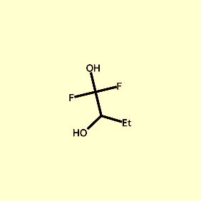 CCC(O)C(O)(F)F